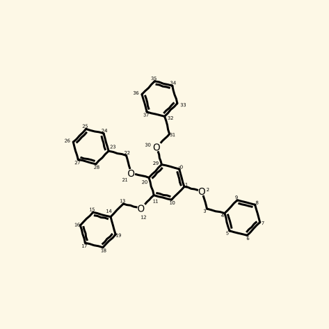 [c]1c(OCc2ccccc2)cc(OCc2ccccc2)c(OCc2ccccc2)c1OCc1ccccc1